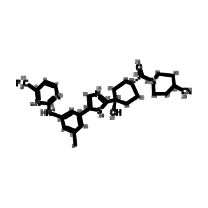 Cc1cc(Nc2nccc(C(F)(F)F)n2)cc(-c2cnc([C@]3(O)CC[C@H](C(=O)N4CCC(C#N)CC4)CC3)s2)c1